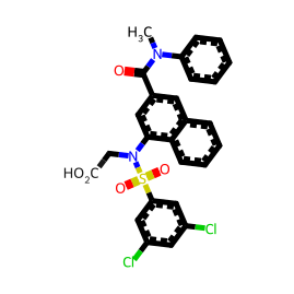 CN(C(=O)c1cc(N(CC(=O)O)S(=O)(=O)c2cc(Cl)cc(Cl)c2)c2ccccc2c1)c1ccccc1